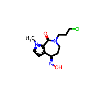 Cn1ccc2c1C(=O)N(CCCCl)CCC2=NO